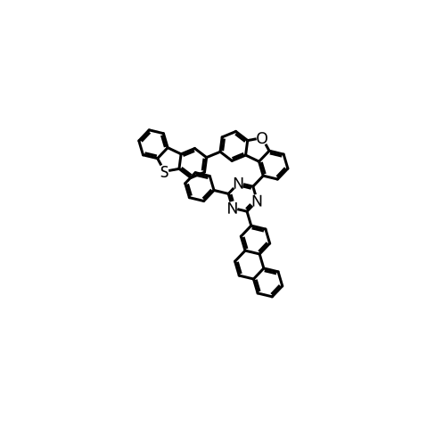 c1ccc(-c2nc(-c3ccc4c(ccc5ccccc54)c3)nc(-c3cccc4oc5ccc(-c6ccc7sc8ccccc8c7c6)cc5c34)n2)cc1